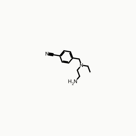 CCN(CCN)Cc1ccc(C#N)cc1